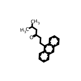 CC(C)CC(=O)CCc1c2ccccc2cc2ccccc12